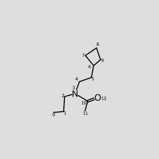 CCCN(CCC1CCC1)C(C)=O